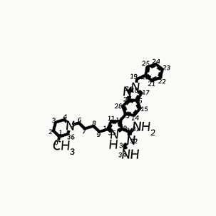 CC1CCCN(CCCCc2cc(-c3ccc4cn(Cc5ccccc5)nc4c3)c(/C(N)=N\C=N)[nH]2)C1